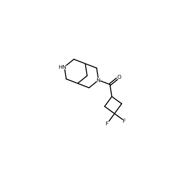 O=C(C1CC(F)(F)C1)N1CC2CNCC(C2)C1